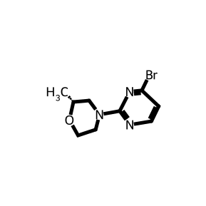 C[C@@H]1CN(c2nccc(Br)n2)CCO1